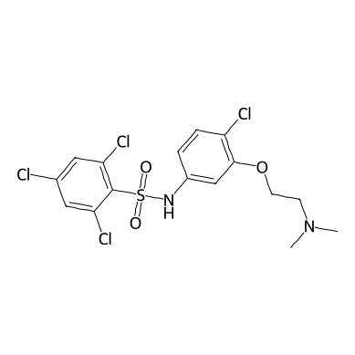 CN(C)CCOc1cc(NS(=O)(=O)c2c(Cl)cc(Cl)cc2Cl)ccc1Cl